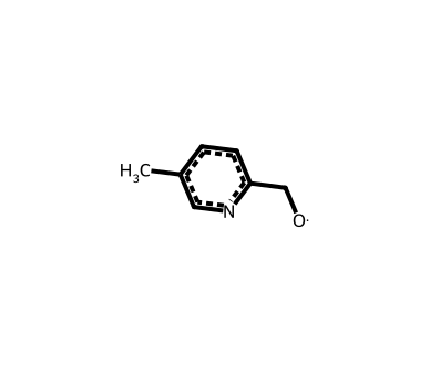 Cc1ccc(C[O])nc1